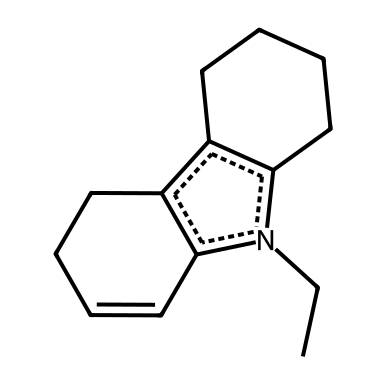 CCn1c2c(c3c1CCCC3)CCC=C2